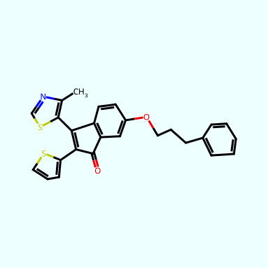 Cc1ncsc1C1=C(c2cccs2)C(=O)c2cc(OCCCc3ccccc3)ccc21